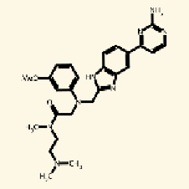 COc1cccc(N(CC(=O)N(C)CCN(C)C)Cc2nc3cc(-c4ccnc(N)n4)ccc3[nH]2)c1